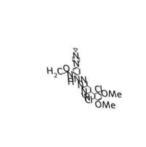 C=CC(=O)Nc1cc(N2CCN(C3CC3)CC2)ccc1Nc1ncc2cc(-c3c(Cl)c(OC)cc(OC)c3Cl)c3nccn3c2n1